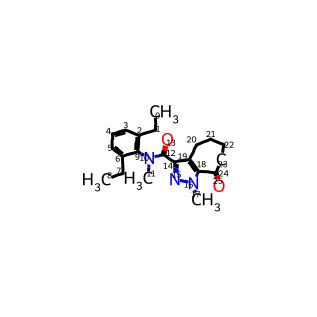 CCc1cccc(CC)c1N(C)C(=O)c1nn(C)c2c1CCCCC2=O